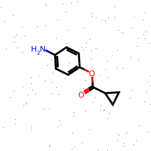 Nc1ccc(OC(=O)C2CC2)cc1